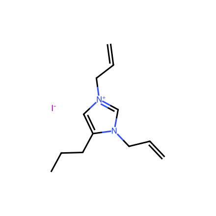 C=CCn1c[n+](CC=C)cc1CCC.[I-]